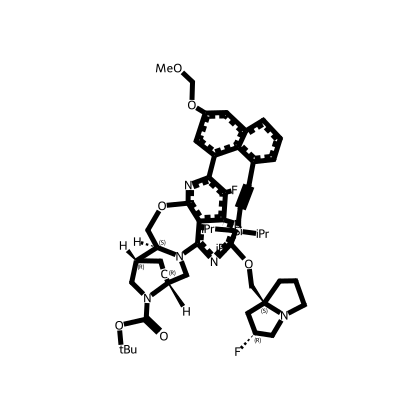 COCOc1cc(-c2nc3c4c(nc(OC[C@@]56CCCN5C[C@H](F)C6)nc4c2F)N2C[C@H]4CC[C@H](CN4C(=O)OC(C)(C)C)[C@H]2CO3)c2c(C#C[Si](C(C)C)(C(C)C)C(C)C)cccc2c1